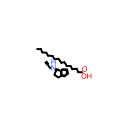 C#CCN[C@@H]1CCc2ccccc21.CCCCCCCCCCCCCCCC(=O)O